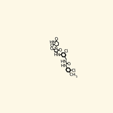 Cc1ccc(NC(=O)NCc2cc(Cl)cc(NC3=CC(=O)N(C4CCC(=O)NC4=O)C3=O)c2)cc1Cl